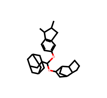 CC1Cc2cc(OC(OC3CC4CC3C3CCCC43)C34CC5CC(CC(C5)C3)C4)ccc2C1C